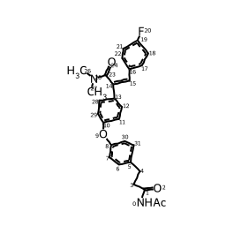 CC(=O)NC(=O)CCc1ccc(Oc2ccc(C(=Cc3ccc(F)cc3)C(=O)N(C)C)cc2)cc1